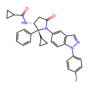 O=C(N[C@@H]1CC(=O)N(c2ccc3c(cnn3-c3ccc(F)cc3)c2)[C@@]1(c1ccccc1)C1CC1)C1CC1